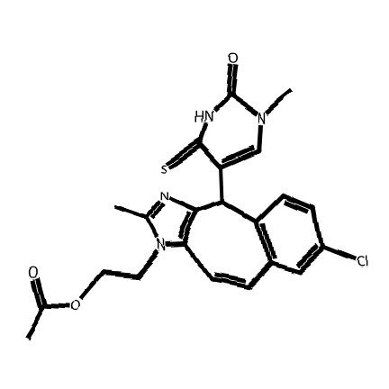 CC(=O)OCCn1c(C)nc2c1C=Cc1cc(Cl)ccc1C2c1cn(C)c(=O)[nH]c1=S